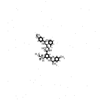 CCS(=O)(=O)Nc1cc(C(=O)N[C@@H](Cc2ccccc2)[C@H](O)CN[C@H](C)c2ccc(OC)cc2)cc(C(=O)N[C@H](C)c2ccc(C)cc2)c1